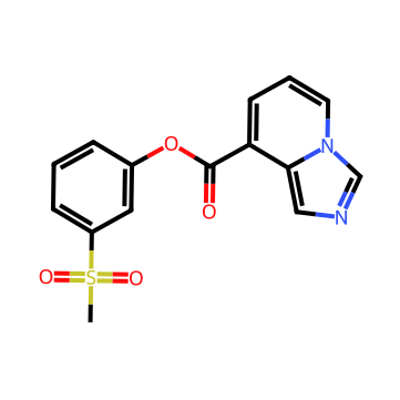 CS(=O)(=O)c1cccc(OC(=O)c2cccn3cncc23)c1